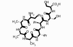 CC(C)C[C@H](N)C(=O)N[C@@H](C)C(=O)N[C@@H](C)C(=O)N[C@@H](C)C(=O)N[C@H](C(=O)N[C@H](C(=O)N[C@@H](CO)C(=O)N[C@@H](CO)C(=O)O)C(C)C)C(C)C